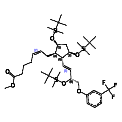 COC(=O)CCC/C=C\C[C@@H]1[C@@H](/C=C/[C@H](COc2cccc(C(F)(F)F)c2)O[Si](C)(C)C(C)(C)C)[C@H](O[Si](C)(C)C(C)(C)C)C[C@@H]1O[Si](C)(C)C(C)(C)C